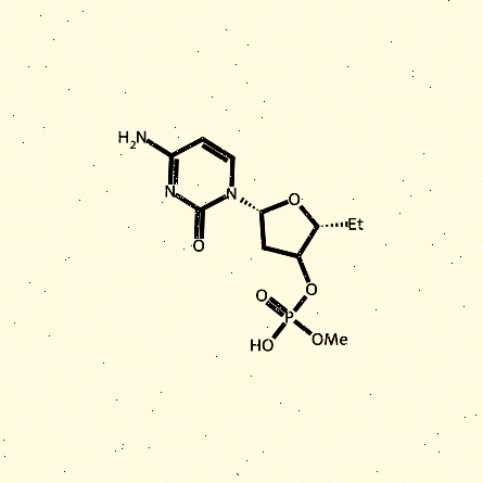 CC[C@H]1O[C@@H](n2ccc(N)nc2=O)CC1OP(=O)(O)OC